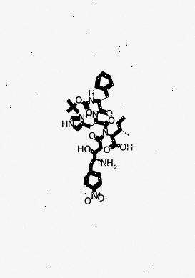 CC[C@H](C)[C@@H](C(=O)O)N(C(=O)CC(O)[C@@H](N)Cc1ccc([N+](=O)[O-])cc1)C(=O)[C@H](Cc1c[nH]cn1)NC(=O)[C@@H](Cc1ccccc1)NC(=O)OC(C)(C)C